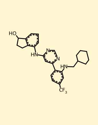 OC1CCc2c(Nc3cc(-c4ccc(C(F)(F)F)cc4NCC4CCCCC4)ncn3)cccc21